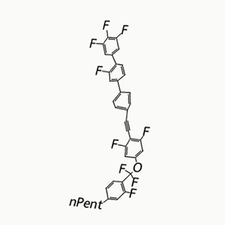 CCCCCc1ccc(C(F)(F)Oc2cc(F)c(C#Cc3ccc(-c4ccc(-c5cc(F)c(F)c(F)c5)c(F)c4)cc3)c(F)c2)c(F)c1